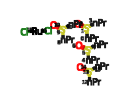 CCCS(=O)CCC.CCCS(=O)CCC.CCCS(=O)CCC.CCCS(=O)CCC.[Cl][Ru][Cl]